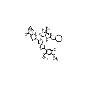 COc1cc(OC)c(C2=NO[C@]3(C2)C[C@@H](C(=O)N[C@@H](CC2CC2)C(=O)C(C)=O)N(C(=O)[C@@H](NC(=O)CC2CCCCCC2)C(C)(C)C)C3)cc1Cl